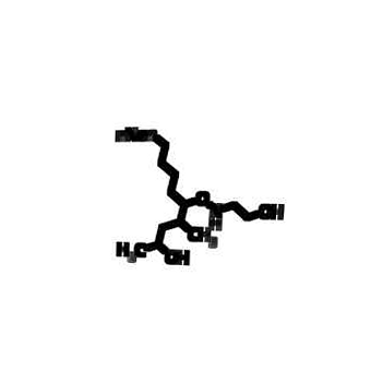 CCCCCCCCCCCCCC(ONCCO)C(C)CC(C)O